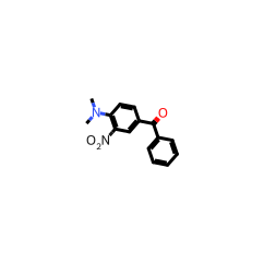 CN(C)c1ccc(C(=O)c2ccccc2)cc1[N+](=O)[O-]